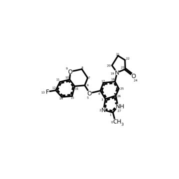 Cc1nc2c(OC3CCOc4cc(F)ccc43)cc(N3CCCC3=O)cc2[nH]1